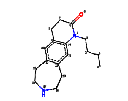 CCCCN1C(=O)CCc2cc3c(cc21)CCNCC3